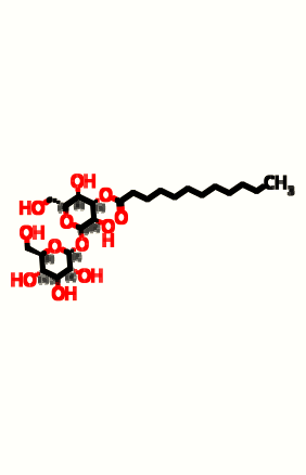 CCCCCCCCCCCC(=O)O[C@@H]1[C@@H](O)[C@@H](O[C@H]2O[C@H](CO)[C@@H](O)[C@H](O)[C@H]2O)O[C@H](CO)[C@H]1O